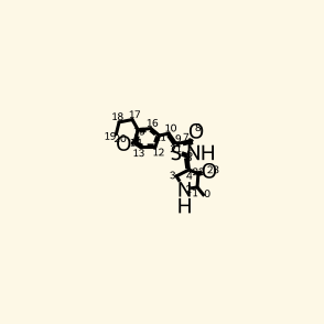 CC1NC/C(=c2/[nH]c(=O)/c(=C/c3ccc4c(c3)CCCO4)s2)C1=O